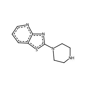 c1cnc2nc(N3CCNCC3)sc2c1